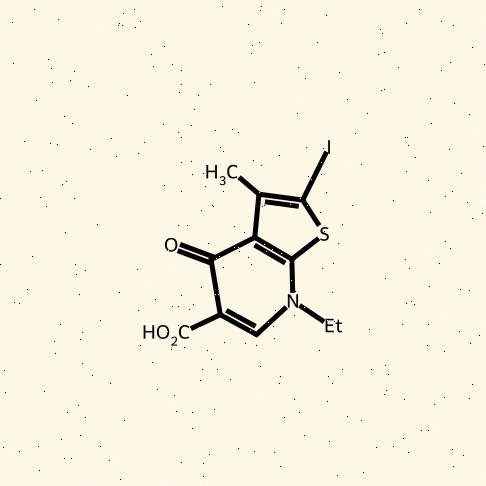 CCn1cc(C(=O)O)c(=O)c2c(C)c(I)sc21